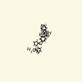 Cn1nccc1[C@@H]1CCC[C@H]1Oc1ccc(S(=O)(=O)Nc2ccncn2)c(F)c1